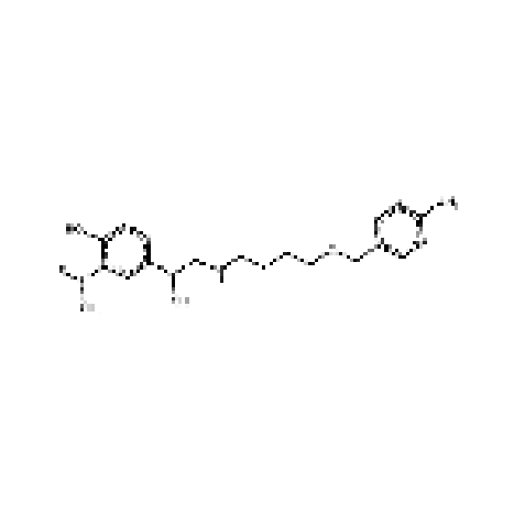 Cc1ccc(COCCCCNCC(O)c2ccc(O)c([S+](C)[O-])c2)cn1